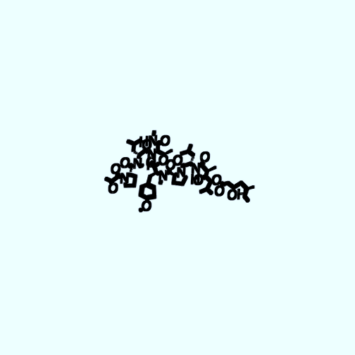 CC[C@H](C)C[C@@H](O)CC(=O)O[C@H](C(=O)[C@H](C)C(=O)N[C@@H](CC(C)C)C(=O)N1CCC[C@H]1C(=O)N(C)[C@@H](Cc1ccc(OC)cc1)C(=O)O[C@H](C)[C@H](NC(=O)[C@@H](CC(C)C)N(C)C(=O)[C@@H]1CCCN1C(=O)C(C)=O)C(=O)NC)C(C)C